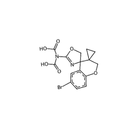 O=C(O)N(C(=O)O)C1=NC2(CO1)c1cc(Br)ccc1OCC21CC1